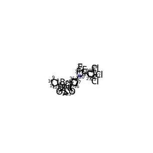 O=C(NC1(C(=O)NC2CCCCC2)CC1)c1ccc(/C=C/C(c2cc(Cl)c(Cl)c(Cl)c2)C(F)(F)F)cc1Br